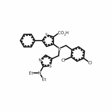 CCN(CC)c1ncc(CN(Cc2ccc(Cl)cc2Cl)c2cc(-c3ccccc3)sc2C(=O)O)s1